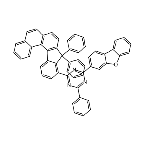 c1ccc(-c2nc(-c3ccc4c(c3)oc3ccccc34)nc(-c3cccc4c3C(c3ccccc3)(c3ccccc3)c3ccc5ccc6ccccc6c5c3-4)n2)cc1